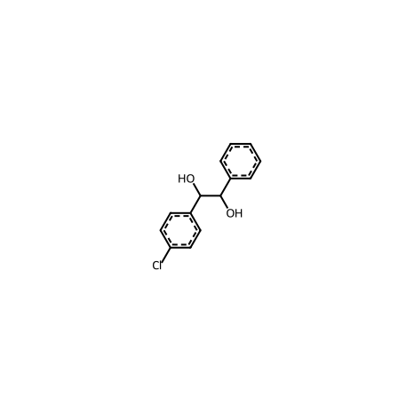 OC(c1ccccc1)C(O)c1ccc(Cl)cc1